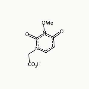 COn1c(=O)ccn(CC(=O)O)c1=O